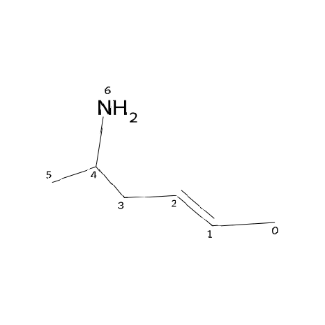 CC=CCC(C)N